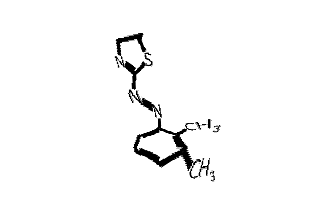 Cc1cccc(N=NC2=NCCS2)c1C